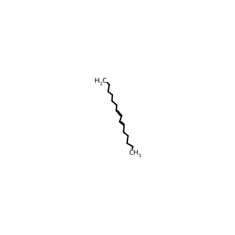 [CH2]CCCCCC=CC=CCCCCC